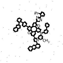 Cc1cccc(N(c2cccc(-c3ccccc3)c2)c2cc3oc4c(-c5cnc(-c6ccccc6C(C)C)nc5)ccc5c6cc(-c7ccc(-c8ccccc8-c8ccc9ccccc9c8)cc7)cc7oc8cc(-c9ccc(-c%10cccc%11cc%12ccccc%12cc%10%11)nc9)cc(c(c2)c3c45)c8c76)c1